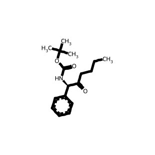 CCCCC(=O)[C@H](NC(=O)OC(C)(C)C)c1ccccc1